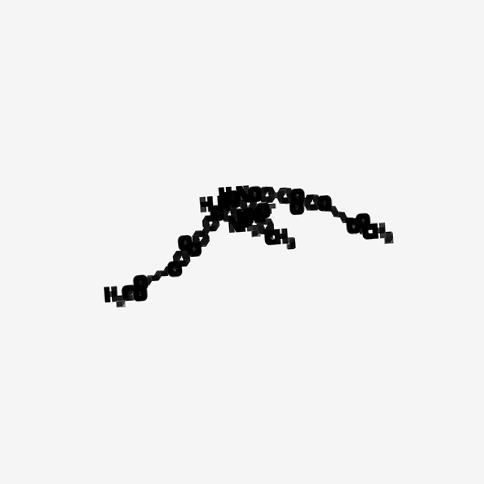 C=CC(=O)OCCCCCCOc1ccc(C(=O)Oc2ccc(-c3ccc(Oc4cc(N)c5c(c4N)C(=O)c4c(N)c(Oc6ccc(-c7ccc(OC(=O)c8ccc(OCCCCCCOC(=O)C=C)cc8)cc7)cc6)cc(N[S+]([O-])c6ccc(C)cc6)c4C5=O)cc3)cc2)cc1